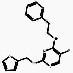 Fc1cnc(OCc2cccs2)nc1NCCc1ccccc1